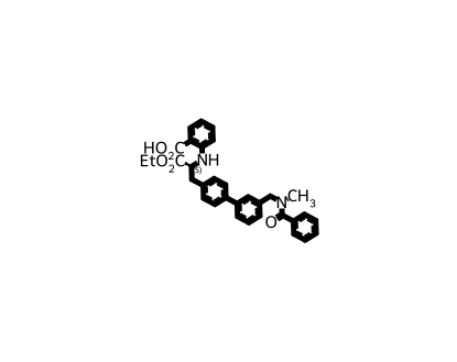 CCOC(=O)[C@H](Cc1ccc(-c2cccc(CN(C)C(=O)c3ccccc3)c2)cc1)Nc1ccccc1C(=O)O